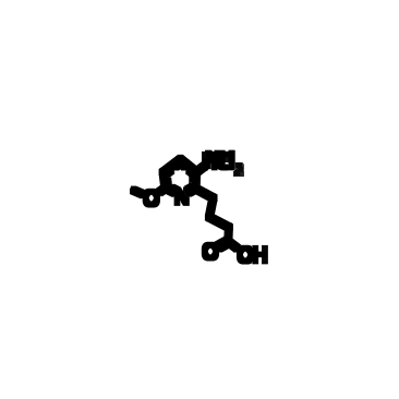 COc1ccc(N)c(CCCC(=O)O)n1.Cl